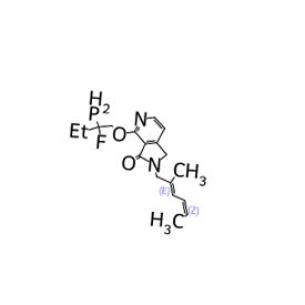 C/C=C\C=C(/C)CN1Cc2ccnc(OCC(F)(P)CC)c2C1=O